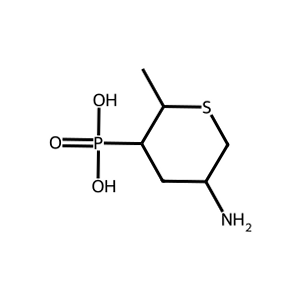 CC1SCC(N)CC1P(=O)(O)O